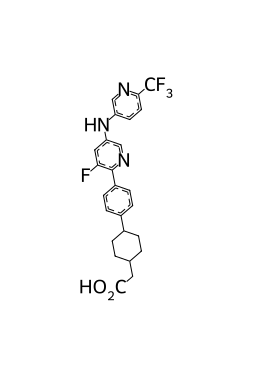 O=C(O)CC1CCC(c2ccc(-c3ncc(Nc4ccc(C(F)(F)F)nc4)cc3F)cc2)CC1